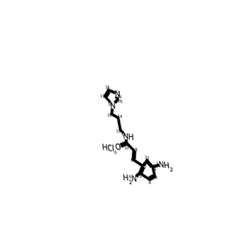 Cl.Nc1ccc(N)c(C=CC(=O)NCCCn2ccnc2)c1